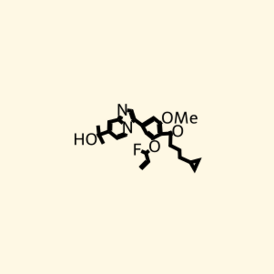 C=CC(F)Oc1cc(-c2cnc3cc(C(C)(C)O)ccn23)cc(OC)c1C(=O)CCCC1CC1